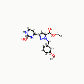 CCOC(=O)c1cc(-c2ccnc(O)n2)nn1Cc1cccc(OC)c1